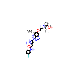 COc1cc2c(Nc3cc(CC(=O)Nc4cccc(F)c4)[nH]n3)ncnc2cc1OCCCNC(C)(C)CO